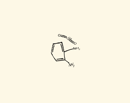 Nc1ccccc1N.[O]=[U+2]=[O]